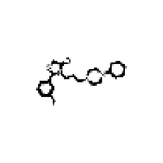 O=C1CSC(c2cccc(F)c2)N1CCCN1CCN(C2CCCCC2)CC1